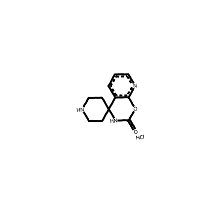 Cl.O=C1NC2(CCNCC2)c2cccnc2O1